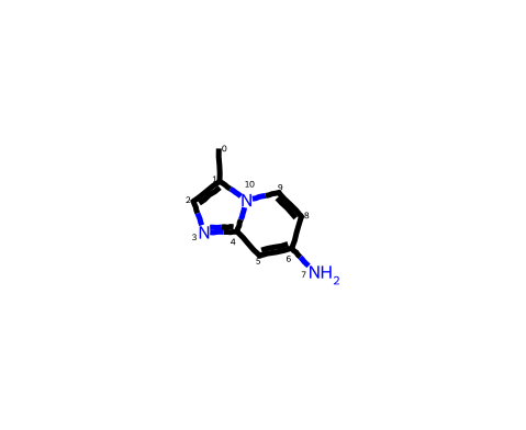 Cc1cnc2cc(N)ccn12